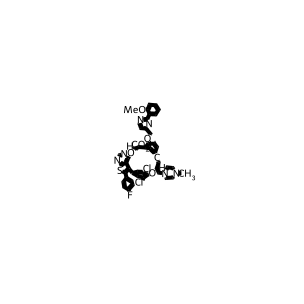 COc1ccccc1-c1nccc(COc2ccc3cc2C[C@H](C(=O)O)Oc2ncnc4sc(-c5ccc(F)cc5)c(c24)-c2cc(Cl)c(c(Cl)c2)O[C@@H](CN2CCN(C)CC2)CC3)n1